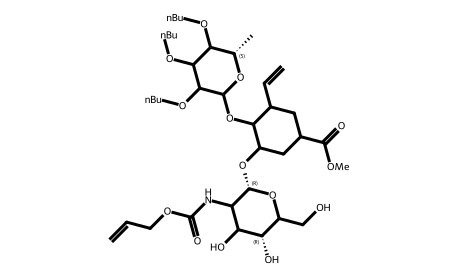 C=CCOC(=O)NC1C(O)[C@@H](O)C(CO)O[C@H]1OC1CC(C(=O)OC)CC(C=C)C1OC1O[C@@H](C)C(OCCCC)C(OCCCC)C1OCCCC